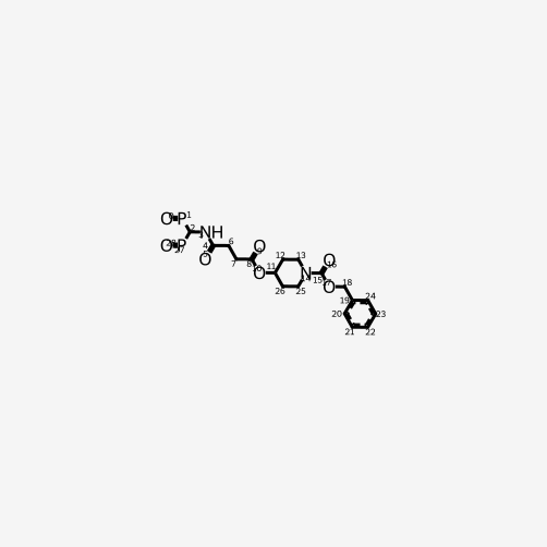 O=PC(NC(=O)CCC(=O)OC1CCN(C(=O)OCc2ccccc2)CC1)P=O